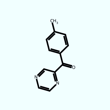 Cc1ccc(C(=O)c2cnccn2)cc1